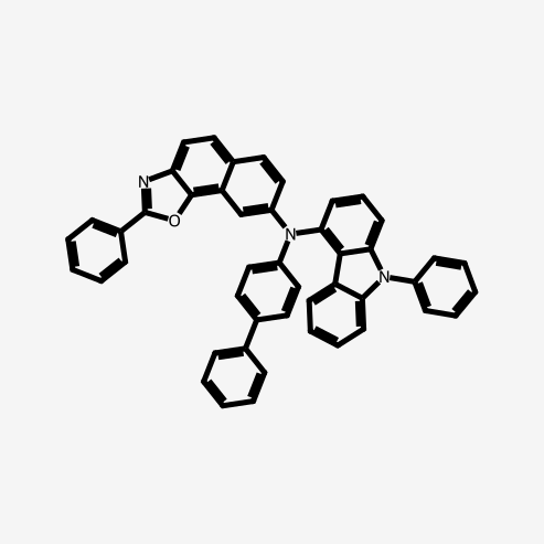 c1ccc(-c2ccc(N(c3ccc4ccc5nc(-c6ccccc6)oc5c4c3)c3cccc4c3c3ccccc3n4-c3ccccc3)cc2)cc1